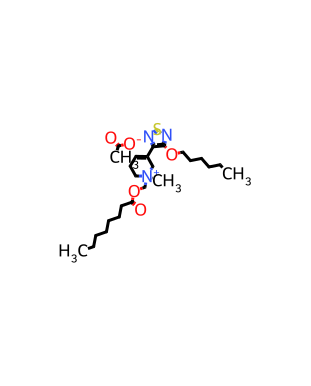 CC(=O)[O-].CCCCCCCC(=O)OC[N+]1(C)CCC=C(c2nsnc2OCCCCCC)C1